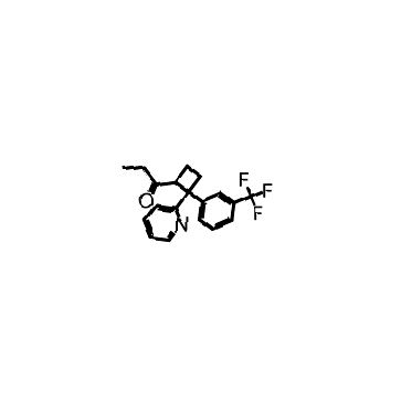 CCC(=O)C1CCC1(c1cccc(C(F)(F)F)c1)c1ccccn1